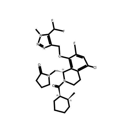 C[C@H]1CCCC[C@H]1C(=O)N1CCc2c(Cl)cc(F)c(OCc3nnn(C)c3C(F)F)c2[C@H]1CN1CCCC1=O